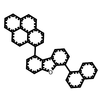 c1ccc2c(-c3cccc4c3oc3cccc(-c5ccc6ccc7cccc8ccc5c6c78)c34)cccc2c1